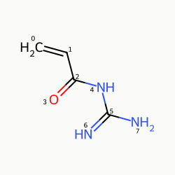 C=CC(=O)NC(=N)N